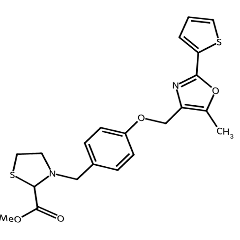 COC(=O)C1SCCN1Cc1ccc(OCc2nc(-c3cccs3)oc2C)cc1